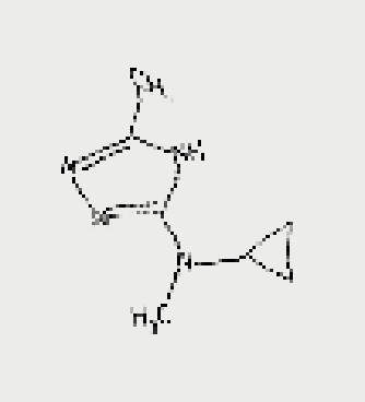 Cc1nnc(N(C)C2CC2)[nH]1